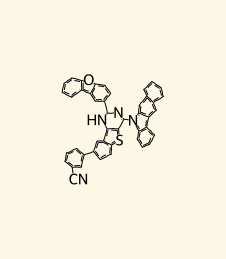 N#Cc1cccc(-c2ccc3sc4c(c3c2)NC(c2ccc3oc5ccccc5c3c2)N=C4n2c3ccccc3c3cc4ccccc4cc32)c1